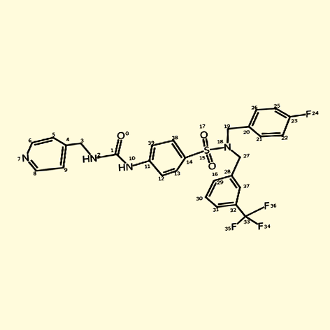 O=C(NCc1ccncc1)Nc1ccc(S(=O)(=O)N(Cc2ccc(F)cc2)Cc2cccc(C(F)(F)F)c2)cc1